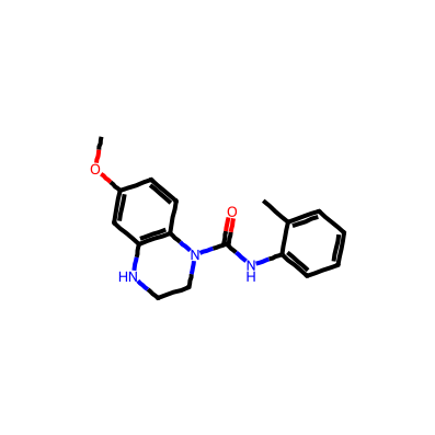 COc1ccc2c(c1)NCCN2C(=O)Nc1ccccc1C